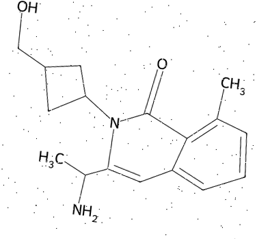 Cc1cccc2cc(C(C)N)n(C3CC(CO)C3)c(=O)c12